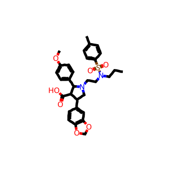 CCCN(CCN1CC(c2ccc3c(c2)OCO3)C(C(=O)O)C1c1ccc(OC)cc1)S(=O)(=O)c1ccc(C)cc1